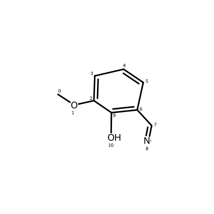 COc1cccc(C=[N])c1O